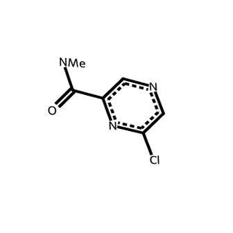 CNC(=O)c1cncc(Cl)n1